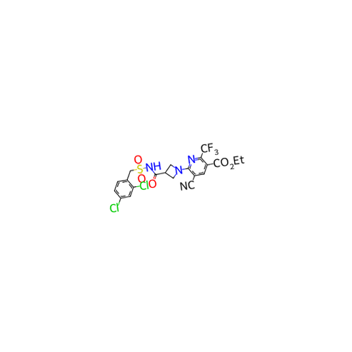 CCOC(=O)c1cc(C#N)c(N2CC(C(=O)NS(=O)(=O)Cc3ccc(Cl)cc3Cl)C2)nc1C(F)(F)F